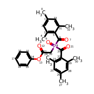 Cc1cc(C)c(C(=O)P(=O)(CC(=O)Oc2ccccc2)C(=O)c2c(C)cc(C)cc2C)c(C)c1